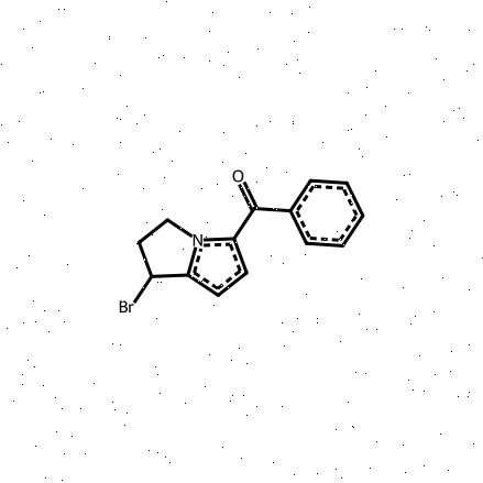 O=C(c1ccccc1)c1ccc2n1CCC2Br